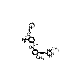 Cc1ccc(C(=O)Nc2ccc(OCCN3CCCC3)c(C(F)(F)F)c2)cc1C#Cc1cnnc(N)n1